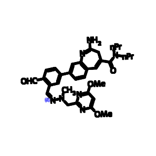 CCCN(CCC)C(=O)C1=Cc2ccc(-c3ccc(C=O)c(/C=N\N(C)Cc4nc(OC)cc(OC)n4)c3)cc2N=C(N)C1